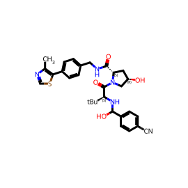 Cc1ncsc1-c1ccc(CNC(=O)[C@@H]2C[C@@H](O)CN2C(=O)[C@@H](NC(O)c2ccc(C#N)cc2)C(C)(C)C)cc1